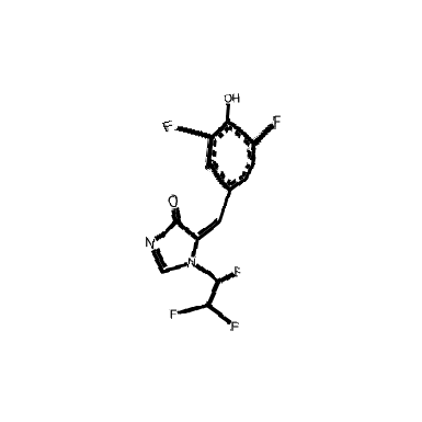 O=C1N=CN(C(F)C(F)F)C1=Cc1cc(F)c(O)c(F)c1